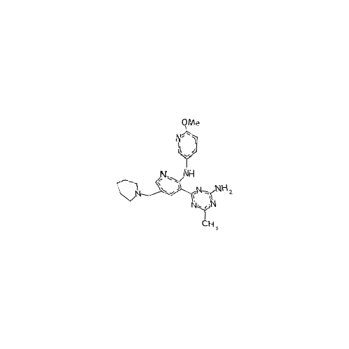 COc1ccc(Nc2ncc(CN3CCCCC3)cc2-c2nc(C)nc(N)n2)cn1